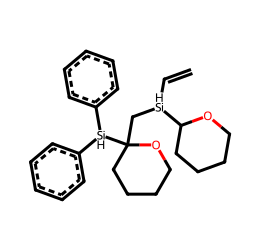 C=C[SiH](CC1([SiH](c2ccccc2)c2ccccc2)CCCCO1)C1CCCCO1